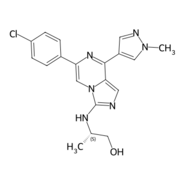 C[C@@H](CO)Nc1ncc2c(-c3cnn(C)c3)nc(-c3ccc(Cl)cc3)cn12